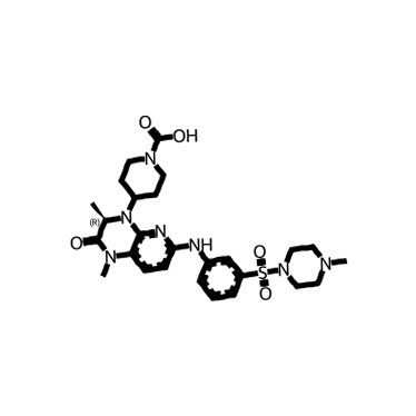 C[C@@H]1C(=O)N(C)c2ccc(Nc3cccc(S(=O)(=O)N4CCN(C)CC4)c3)nc2N1C1CCN(C(=O)O)CC1